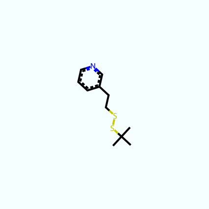 CC(C)(C)SSCCc1cccnc1